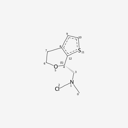 CN(Cl)C[C@@H]1OCCc2ccsc21